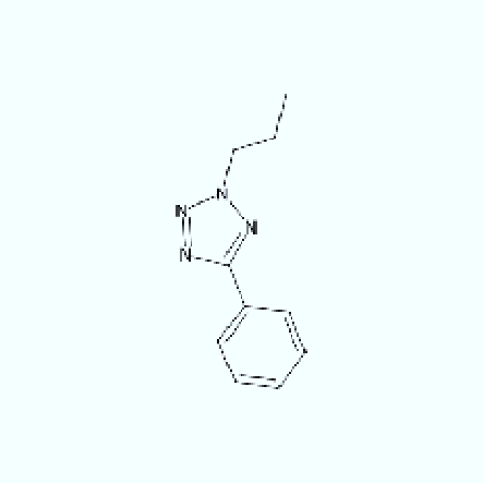 CCCn1nnc(-c2ccccc2)n1